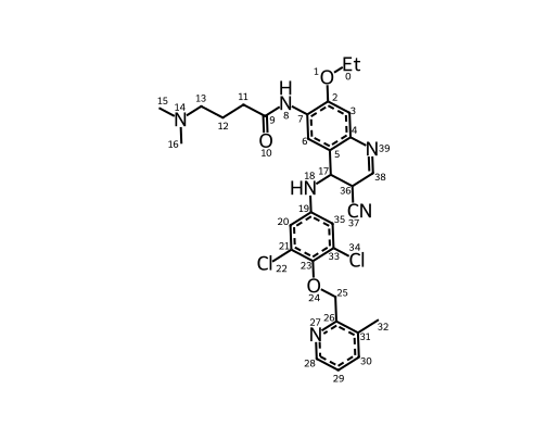 CCOc1cc2c(cc1NC(=O)CCCN(C)C)C(Nc1cc(Cl)c(OCc3ncccc3C)c(Cl)c1)C(C#N)C=N2